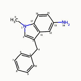 Cn1cc(Cc2ccccc2)c2cc(N)ccc21